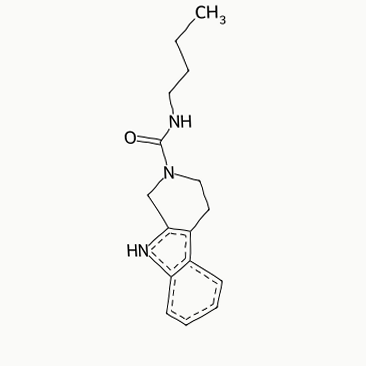 CCCCNC(=O)N1CCc2c([nH]c3ccccc23)C1